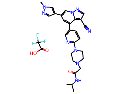 CC(C)NC(=O)CN1CCN(c2ccc(-c3cc(-c4cnn(C)c4)cn4ncc(C#N)c34)cn2)CC1.O=C(O)C(F)(F)F